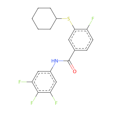 O=C(Nc1cc(F)c(F)c(F)c1)c1ccc(F)c(SC2CCCCC2)c1